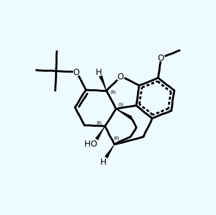 COc1ccc2c3c1O[C@H]1C(OC(C)(C)C)=CC[C@@]4(O)[C@H](CCC[C@]314)C2